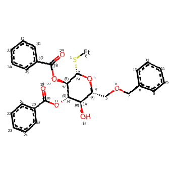 CCS[C@@H]1O[C@H](COCc2ccccc2)[C@@H](O)[C@H](OC(=O)c2ccccc2)[C@H]1OC(=O)c1ccccc1